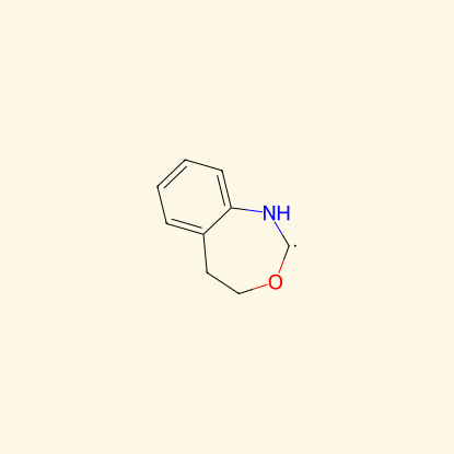 [CH]1Nc2ccccc2CCO1